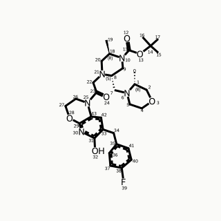 C[C@@H]1COCCN1C[C@H]1CN(C(=O)OC(C)(C)C)[C@H](C)CN1CC(=O)N1CCOc2nc(O)c(Cc3ccc(F)cc3)cc21